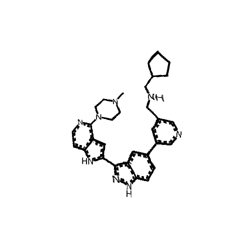 CN1CCN(c2nccc3[nH]c(-c4n[nH]c5ccc(-c6cncc(CNCC7CCCC7)c6)cc45)cc23)CC1